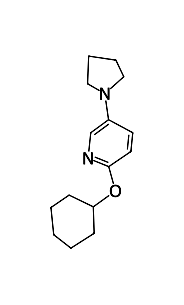 c1cc(OC2CCCCC2)ncc1N1CCCC1